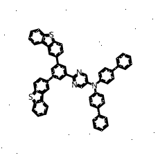 c1ccc(-c2ccc(N(c3ccc(-c4ccccc4)cc3)c3cnc(-c4cc(-c5ccc6sc7ccccc7c6c5)cc(-c5ccc6sc7ccccc7c6c5)c4)nc3)cc2)cc1